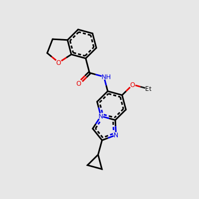 CCOc1cc2nc(C3CC3)cn2cc1NC(=O)c1cccc2c1OCC2